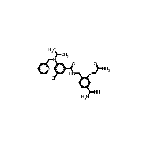 CC(C)N(Cc1ccccn1)c1cc(Cl)cc(C(=O)NCc2ccc(C(=N)N)cc2OCC(N)=O)c1